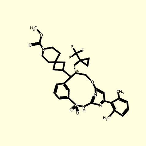 COC(=O)N1CCC2(CC1)CC(C1c3cccc(c3)S(=O)(=O)Nc3nc(cc(-c4c(C)cccc4C)n3)OC[C@H]1CC1(C(F)(F)F)CC1)C2